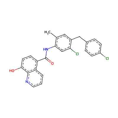 Cc1cc(Cc2ccc(Cl)cc2)c(Cl)cc1NC(=O)c1ccc(O)c2ncccc12